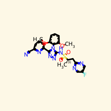 COc1cccc(OC)c1-n1c(NS(=O)(=O)[C@@H](C)Cc2ncc(F)cn2)nnc1-c1cccc(C#N)n1